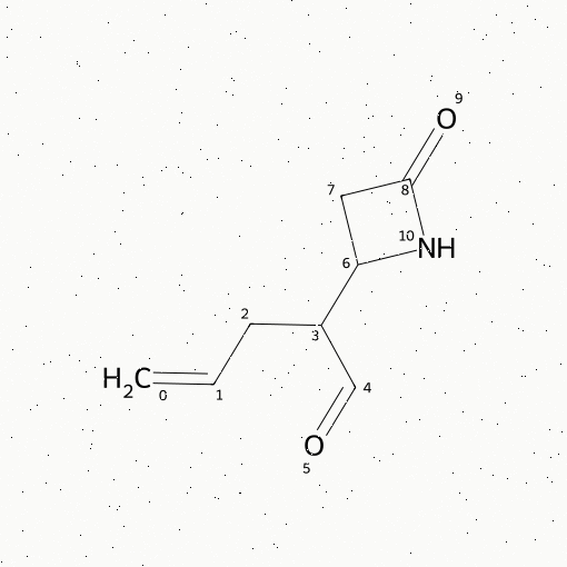 C=CCC(C=O)C1CC(=O)N1